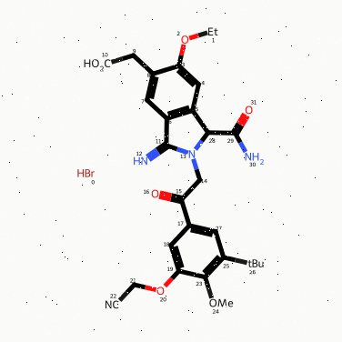 Br.CCOc1cc2c(cc1CC(=O)O)C(=N)N(CC(=O)c1cc(OCC#N)c(OC)c(C(C)(C)C)c1)C2C(N)=O